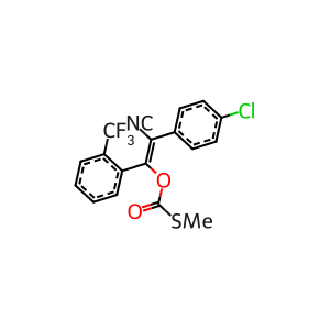 CSC(=O)O/C(=C(/C#N)c1ccc(Cl)cc1)c1ccccc1C(F)(F)F